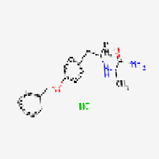 CC(Cc1ccc(OCc2ccccc2)cc1)NC(C)C(N)=O.Cl